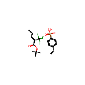 C=Cc1ccc(S(=O)(=O)O)cc1.CCC=C(C(=O)OC(C)(C)C)C(F)(F)F